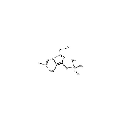 CCCC[SH](CCCC)(CCCC)=Nc1nc(CO)n2cc(F)ccc12